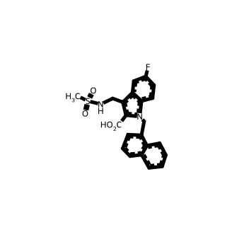 CS(=O)(=O)NCc1c(C(=O)O)n(Cc2cccc3ccccc23)c2ccc(F)cc12